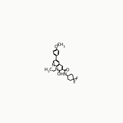 CCn1c(=O)c(C(=O)NC2CCC(F)(F)CC2)cc2cc(-c3ccc(OC)cc3)cnc21